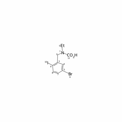 CCN(Cc1cc(Br)ccc1I)C(=O)O